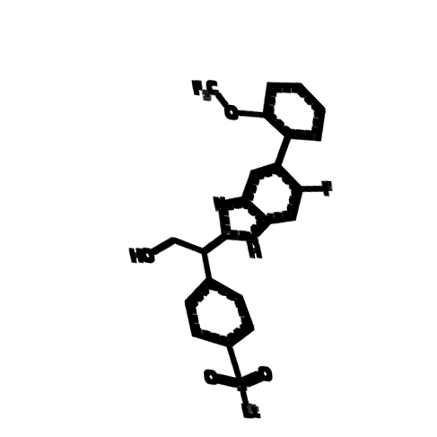 CCS(=O)(=O)c1ccc(C(CO)c2nc3cc(-c4ccccc4OC(F)(F)F)c(F)cc3[nH]2)cc1